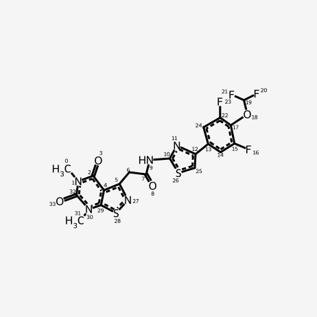 Cn1c(=O)c2c(CC(=O)Nc3nc(-c4cc(F)c(OC(F)F)c(F)c4)cs3)nsc2n(C)c1=O